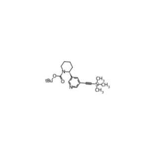 CC(C)(C)OC(=O)N1CCCC[C@H]1c1cncc(C#C[Si](C)(C)C)c1